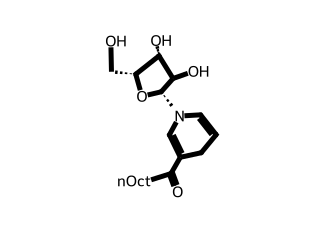 CCCCCCCCC(=O)C1=CN([C@@H]2O[C@H](CO)[C@H](O)C2O)C=CC1